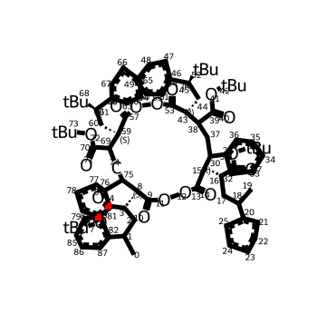 CC(CC(C(=O)OC(C)(C)C)[C@H]1C(=O)OOC(=O)[C@@H](C(CC(C)c2ccccc2)C(=O)OC(C)(C)C)C(c2ccccc2)CC(C(=O)OC(C)(C)C)[C@@H](C[C@@H](c2ccccc2)C(C)(C)C)C(=O)OOC(=O)[C@@H](C[C@H](c2ccccc2)C(C)(C)C)C(C(=O)OC(C)(C)C)CC1c1ccccc1)c1ccccc1